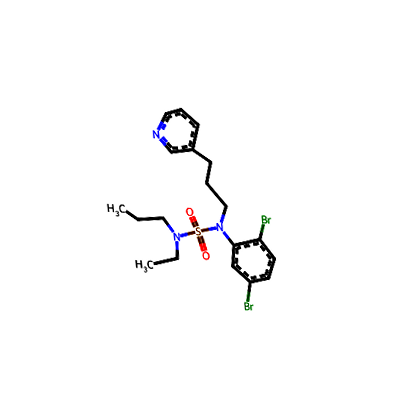 CCCN(CC)S(=O)(=O)N(CCCc1cccnc1)c1cc(Br)ccc1Br